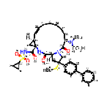 CCCCS[C@@]1(c2ccc(-c3ccccc3)cc2)C[C@H]2C(=O)N[C@]3(C(=O)NS(=O)(=O)C4CC4)C[C@H]3C=CCCCCC[C@H](N(C(=O)O)C(C)(C)C)C(=O)N2C1